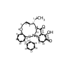 CC[C@H]1/C=C/COc2ccccc2[C@@H](c2ccccc2)N2CN1C(=O)c1c(O)c(=O)ccn12